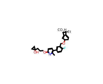 CC[C@]1(C(=O)O)CC2=CC(OCc3cc(-c4ccc(OCCCC5(O)CC5)nc4C)ccc3F)CC=C21